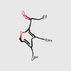 CCC(=O)c1occ(OC)c1OC